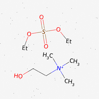 CCOS(=O)(=O)OCC.C[N+](C)(C)CCO